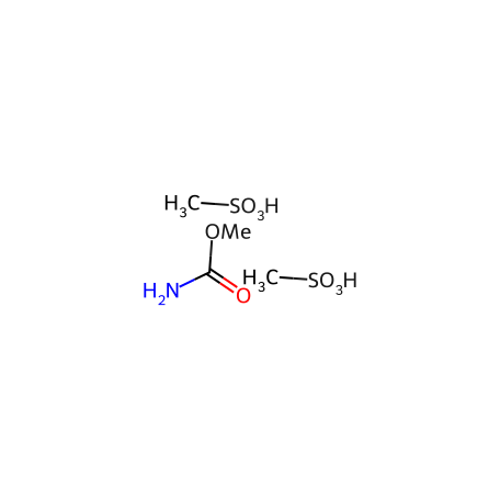 COC(N)=O.CS(=O)(=O)O.CS(=O)(=O)O